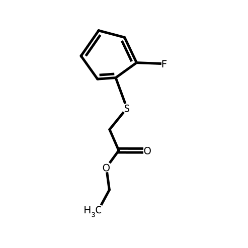 CCOC(=O)CSc1ccccc1F